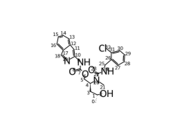 C[C@@H](O)C[C@@H](COC(=O)Nc1cc2ccccc2cn1)N(C)C(=O)NCc1ccccc1Cl